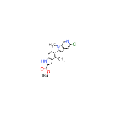 Cc1c(-c2cc3cc(Cl)ncc3n2C)ccc2c1CC(C(=O)OC(C)(C)C)N2